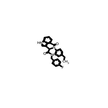 CCc1ccc(N2C(=O)c3cccc4[nH]cc(c34)C2C(=O)NCc2ccc(F)cc2)cc1